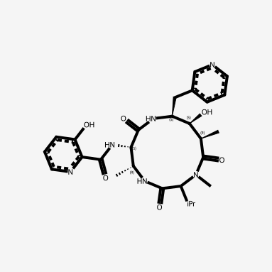 CC(C)C1C(=O)N[C@H](C)[C@H](NC(=O)c2ncccc2O)C(=O)N[C@@H](Cc2cccnc2)[C@@H](O)[C@@H](C)C(=O)N1C